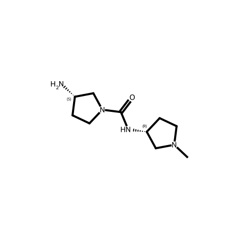 CN1CC[C@@H](NC(=O)N2CC[C@H](N)C2)C1